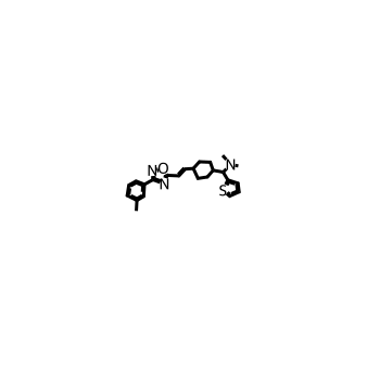 Cc1cccc(-c2noc(/C=C/C3CCC(C(c4cccs4)N(C)C)CC3)n2)c1